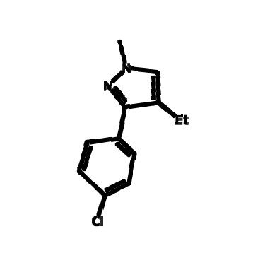 CCc1cn(C)nc1-c1ccc(Cl)cc1